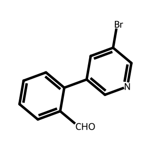 O=Cc1ccccc1-c1cncc(Br)c1